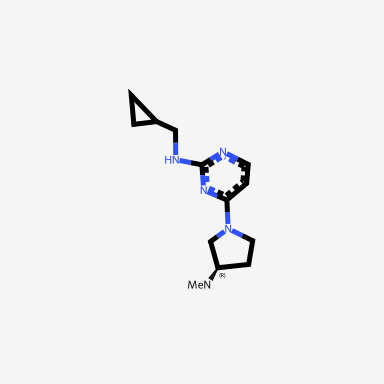 CN[C@@H]1CCN(c2ccnc(NCC3CC3)n2)C1